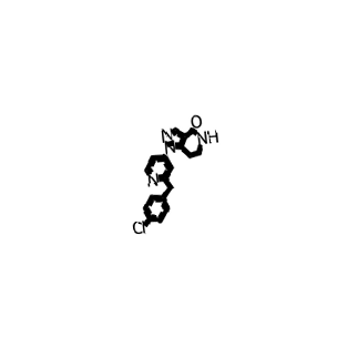 O=C1NCCc2c1cnn2-c1ccnc(Cc2ccc(Cl)cc2)c1